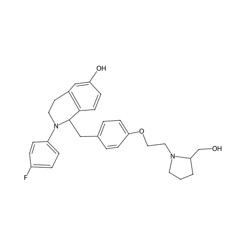 OCC1CCCN1CCOc1ccc(CC2c3ccc(O)cc3CCN2c2ccc(F)cc2)cc1